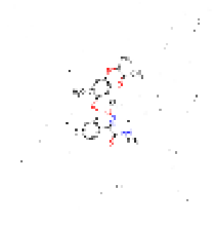 CNC(=O)/C(=N/OC)c1ccccc1COc1ccc(OC(C)C(C)=O)cc1C